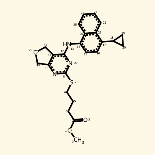 COC(=O)CCCSc1nc2c(c(Nc3ccc(C4CC4)c4ccccc34)n1)COC2